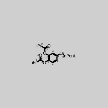 CCCCCOc1ccc(OC(=O)C(C)C)c(OC(=O)C(C)C)c1